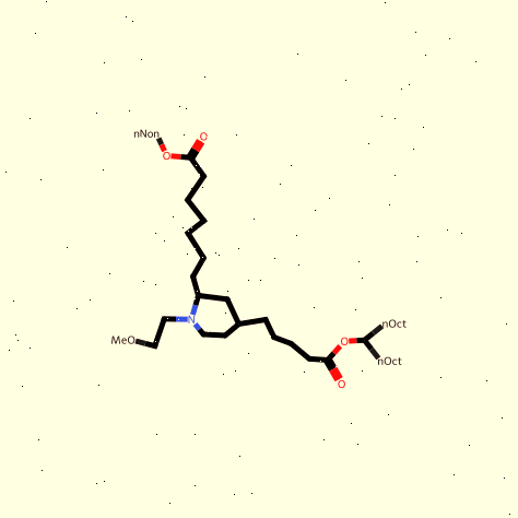 CCCCCCCCCOC(=O)CCCCCCC1CC(CCCCC(=O)OC(CCCCCCCC)CCCCCCCC)CCN1CCOC